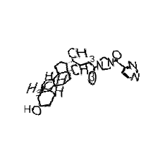 CC(CCC(=O)N1CCN(C(=O)c2ccncn2)CC1)[C@H]1CC[C@H]2[C@@H]3CC=C4C[C@@H](O)CC[C@]4(C)[C@H]3CC[C@]12C